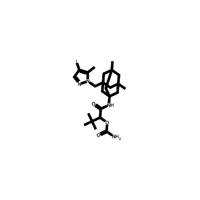 Cc1c(I)cnn1CC12CC3(C)CC(C)(C1)CC(NC(=O)C(OC(N)=O)C(C)(C)C)(C3)C2